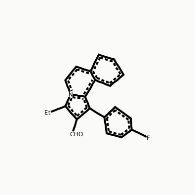 CCc1c(C=O)c(-c2ccc(F)cc2)c2c3ccccc3ccn12